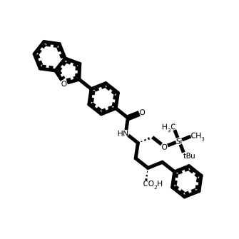 CC(C)(C)[Si](C)(C)OC[C@H](C[C@H](Cc1ccccc1)C(=O)O)NC(=O)c1ccc(-c2cc3ccccc3o2)cc1